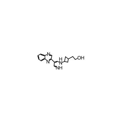 N=C/C(=C\NC1CC(CCO)C1)c1cnc2ccccc2n1